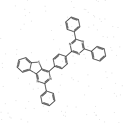 c1ccc(-c2nc(-c3ccccc3)nc(-c3ccc(-c4nc(-c5ccccc5)nc5c4sc4ccccc45)cc3)n2)cc1